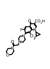 O=C(O)c1cn(C2CC2F)c2c(Cl)c(N3CCN(CC(=O)N4CCOCC4)CC3)c(F)cc2c1=O